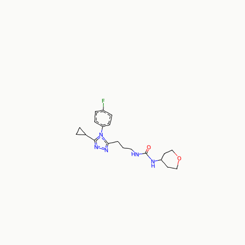 O=C(NCCCc1nnc(C2CC2)n1-c1ccc(F)cc1)NC1CCOCC1